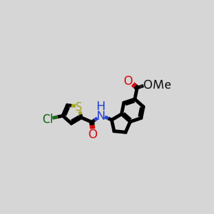 COC(=O)c1ccc2c(c1)C(NC(=O)c1cc(Cl)cs1)CC2